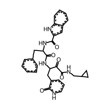 O=C(NCC1CC1)C(=O)C(Cc1ccc[nH]c1=O)NC(=O)C(Cc1ccccc1)NC(=O)c1cc2ccccc2[nH]1